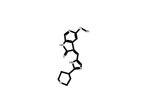 CC(C)Oc1cc2c(cn1)NC(=O)C2=Cc1cnc(C2CCOCC2)[nH]1